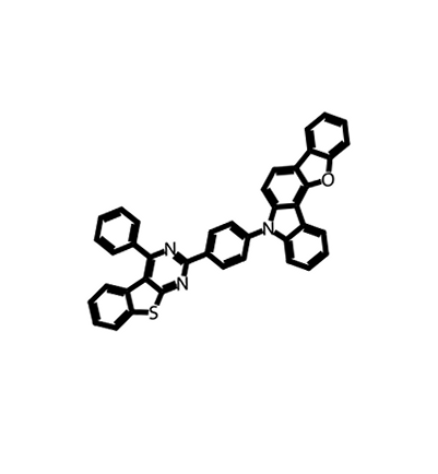 c1ccc(-c2nc(-c3ccc(-n4c5ccccc5c5c6oc7ccccc7c6ccc54)cc3)nc3sc4ccccc4c23)cc1